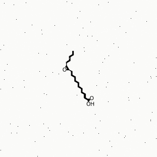 CCCCC[C@@H]1O[C@@H]1CCCCCCCCC=CC(=O)O